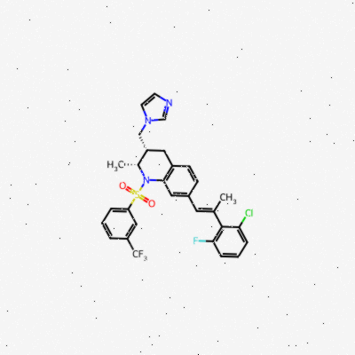 C/C(=C\c1ccc2c(c1)N(S(=O)(=O)c1cccc(C(F)(F)F)c1)[C@H](C)[C@H](Cn1ccnc1)C2)c1c(F)cccc1Cl